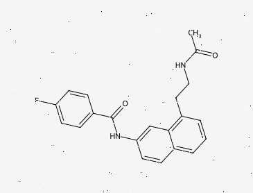 CC(=O)NCCc1cccc2ccc(NC(=O)c3ccc(F)cc3)cc12